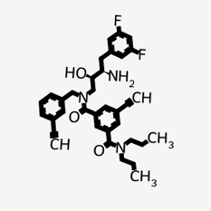 C#Cc1cccc(CN(C[C@@H](O)[C@@H](N)Cc2cc(F)cc(F)c2)C(=O)c2cc(C#C)cc(C(=O)N(CCC)CCC)c2)c1